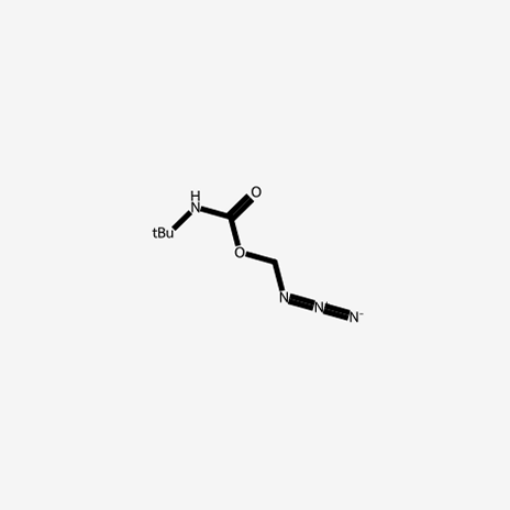 CC(C)(C)NC(=O)OCN=[N+]=[N-]